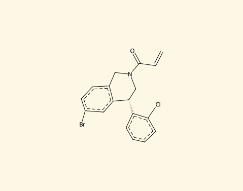 C=CC(=O)N1Cc2ccc(Br)cc2[C@@H](c2ccccc2Cl)C1